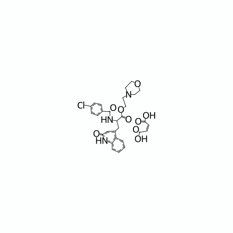 O=C(NC(Cc1cc(=O)[nH]c2ccccc12)C(=O)OCCN1CCOCC1)c1ccc(Cl)cc1.O=C(O)/C=C\C(=O)O